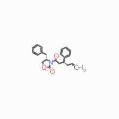 C=CC[C@@H](CC(=O)N1C(=O)OC[C@@H]1Cc1ccccc1)c1ccccc1